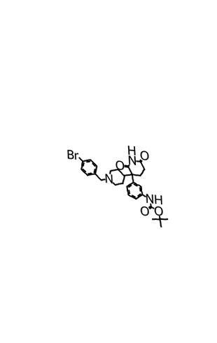 CC(C)(C)OC(=O)Nc1cccc(C2(C3CCN(Cc4ccc(Br)cc4)CC3)CCC(=O)NC2=O)c1